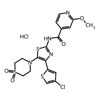 COc1cc(C(=O)Nc2nc(-c3cc(Cl)cs3)c(N3CCS(=O)(=O)CC3)s2)ccn1.Cl